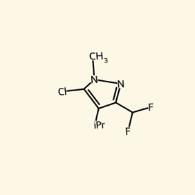 CC(C)c1c(C(F)F)nn(C)c1Cl